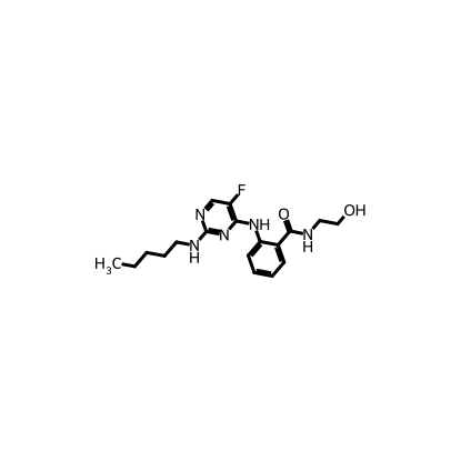 CCCCCNc1ncc(F)c(Nc2ccccc2C(=O)NCCO)n1